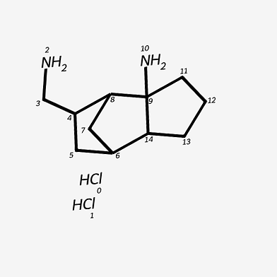 Cl.Cl.NCC1CC2CC1C1(N)CCCC21